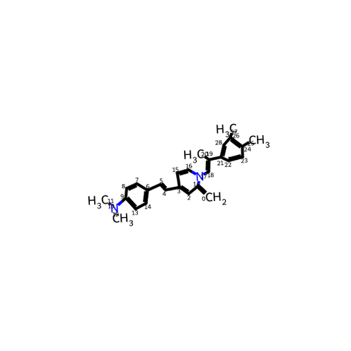 C=C1C=C(/C=C/c2ccc(N(C)C)cc2)C=CN1/C=C(\C)c1ccc(C)c(C)c1